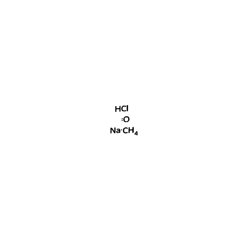 C.Cl.[Na].[O]